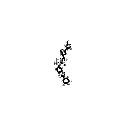 Cc1nc(-c2cc(C(=O)NC(=S)Nc3ccc4c(c3)OC(c3ccccc3)O4)no2)cs1